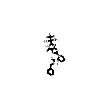 CC(C)(c1nc2sc(N3CCC[C@@H]3C(=O)NCc3ccccc3)nc2c(=O)[nH]1)C(F)(F)F